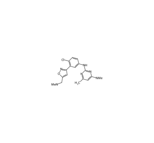 CNCc1cc(-c2cc(Nc3nc(C)cc(NC)n3)ccc2Cl)no1